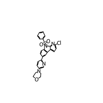 O=S(=O)(c1ccccc1)n1c2ccc(-c3ccc(N4CCOCC4)cn3)cc2c2ccc(Cl)nc21